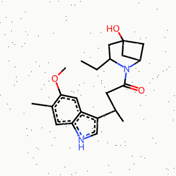 CCC1CC2(O)CC(C2)N1C(=O)CC(C)c1c[nH]c2cc(C)c(OC)cc12